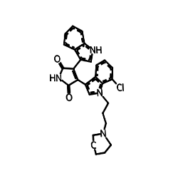 O=C1NC(=O)C(c2cn(CCCN3CCCCC3)c3c(Cl)cccc23)=C1c1c[nH]c2ccccc12